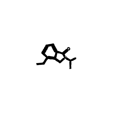 CCc1cccc2c1CN(C(C)C)C2=O